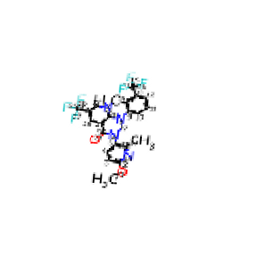 COc1ccc(N2CN(c3cccc(C(F)(F)F)c3C)c3ncc(C(F)(F)F)cc3C2=O)c(C)n1